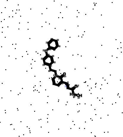 O=C(/C=C/c1cccn(CCc2ccc(Oc3ccccc3)cc2)c1=O)NO